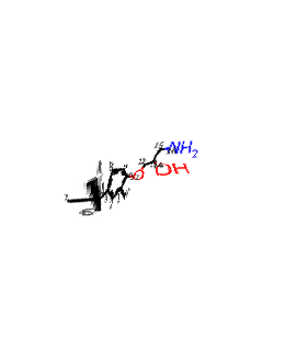 Cc1cc(C(C)(C)C)ccc1OCC(O)CN